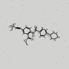 COC(=O)c1cc(C#C[Si](C)(C)C)ccc1NC(=O)c1ccc(C2CCCCC2)cc1